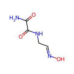 NC(=O)C(=O)NCC=NO